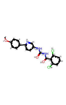 COc1ccc(-c2ccc(NC(=O)NC(=O)c3c(Cl)cccc3Cl)cn2)cc1